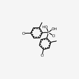 Cc1cc(Cl)ccc1P(O)(O)(Cl)c1ccc(Cl)cc1C